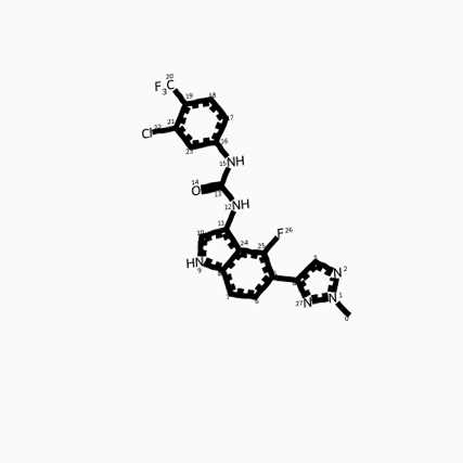 Cn1ncc(-c2ccc3[nH]cc(NC(=O)Nc4ccc(C(F)(F)F)c(Cl)c4)c3c2F)n1